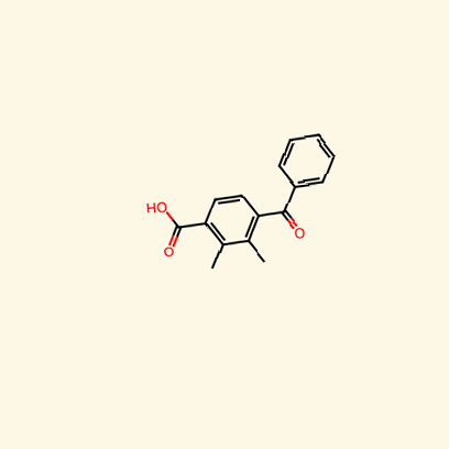 Cc1c(C(=O)O)ccc(C(=O)c2ccccc2)c1C